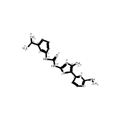 CNc1nccc(-c2sc(NC(=O)Nc3cccc(C(C)C)c3)nc2C)n1